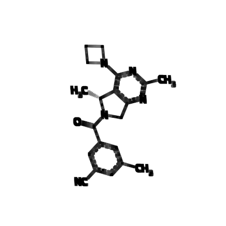 Cc1cc(C#N)cc(C(=O)N2Cc3nc(C)nc(N4CCC4)c3[C@H]2C)c1